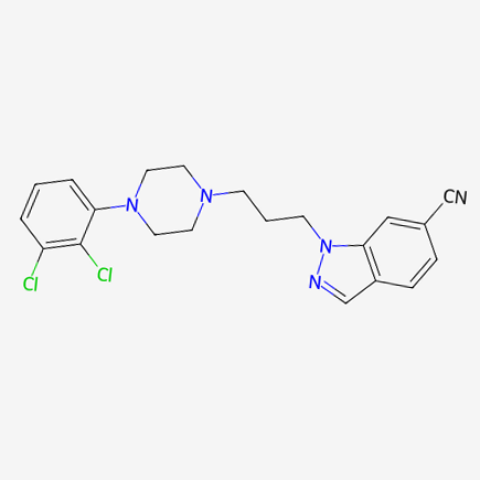 N#Cc1ccc2cnn(CCCN3CCN(c4cccc(Cl)c4Cl)CC3)c2c1